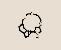 C1CCCCC2CNN(C2)N2CCC3CCC(CCC1)CC32